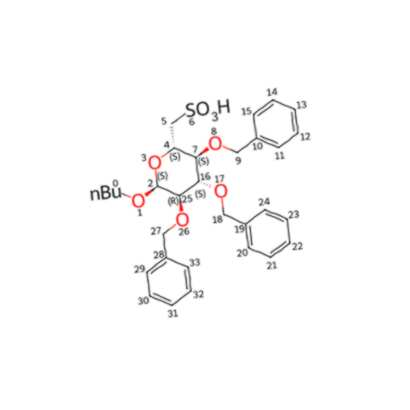 CCCCO[C@H]1O[C@H](CS(=O)(=O)O)[C@@H](OCc2ccccc2)[C@H](OCc2ccccc2)[C@H]1OCc1ccccc1